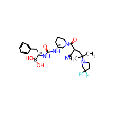 CC(C)(CC(C#N)C(=O)N1CCC[C@@H](NC(=O)N[C@@H](Cc2ccccc2)B(O)O)C1)N1CCC(F)(F)C1